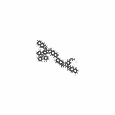 Cc1cc2c3c(c1)n1c4cc5cc(-c6ccc7cc8nc9n(c8cc7c6)c6cc([Si](c7ccccc7)(c7ccccc7)c7ccccc7)cc7c6n9c6nc8cc9ccccc9cc8n76)ccc5cc4nc1n3c1nc3cc4ccccc4cc3n21